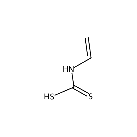 C=CNC(=S)S